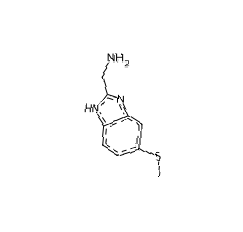 CSc1ccc2[nH]c(CN)nc2c1